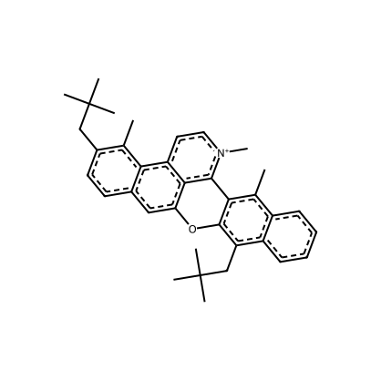 Cc1c2c(c(CC(C)(C)C)c3ccccc13)Oc1cc3ccc(CC(C)(C)C)c(C)c3c3cc[n+](C)c-2c13